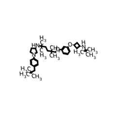 CC(C)(C)Cc1ccc(N2CC[C@@H](NC(C)(C)CCC(C)(C)COc3cccc(O[C@H]4C[C@@H](NC(C)(C)C)C4)c3)C2)cc1